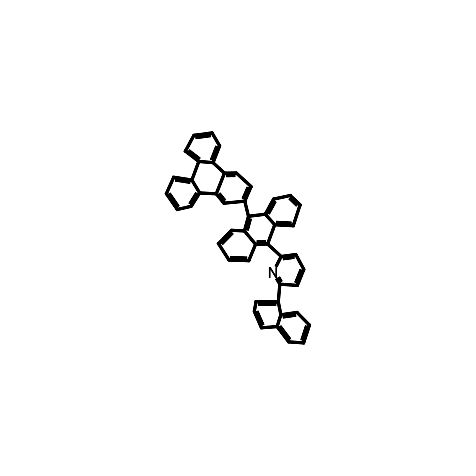 c1cc(-c2cccc3ccccc23)nc(-c2c3ccccc3c(-c3ccc4c5ccccc5c5ccccc5c4c3)c3ccccc23)c1